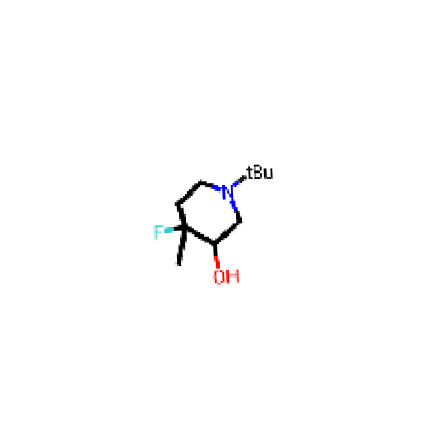 CC1(F)CCN(C(C)(C)C)CC1O